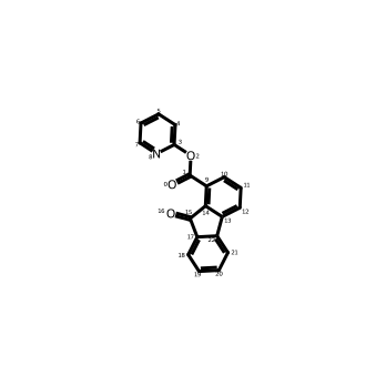 O=C(Oc1ccccn1)c1cccc2c1C(=O)c1ccccc1-2